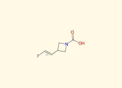 O=C(O)N1CC(/C=C/I)C1